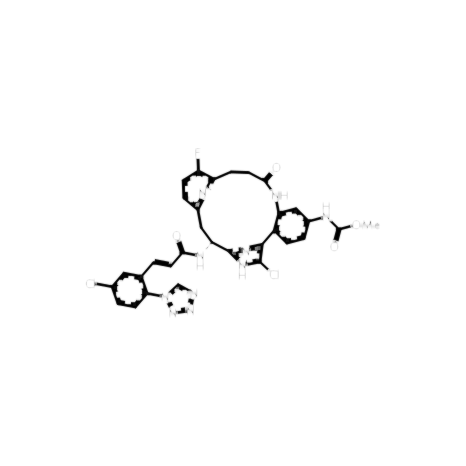 COC(=O)Nc1ccc2c(c1)NC(=O)CCc1nc(ccc1F)C[C@@H](NC(=O)/C=C/c1cc(Cl)ccc1-n1cnnn1)c1nc-2c(Cl)[nH]1